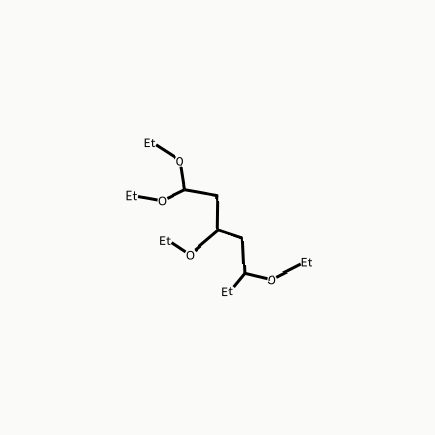 CCOC(CC)CC(CC(OCC)OCC)OCC